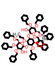 C=CCO[C@@H]1[C@@H](O[C@H]2O[C@H](CO[Si](c3ccccc3)(c3ccccc3)C(C)(C)C)[C@@H](OCc3ccccc3)[C@H](OCc3ccccc3)[C@@H]2O)[C@H](OCc2ccccc2)[C@@H](OCc2ccccc2)[C@H](OCc2ccccc2)[C@@H]1O[C@@H]1O[C@H](COCc2ccccc2)[C@@H](OCc2ccccc2)[C@H](OCc2ccccc2)[C@@H]1O